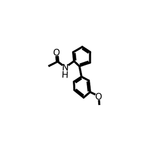 COc1cccc(-c2ccccc2NC(C)=O)c1